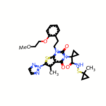 COCCOc1ccccc1CCn1c(=O)n(C2(C(=O)NSC3(C)CC3)CC2)c(=O)c2c(C)c(-n3nccn3)sc21